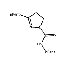 CCCCCNC(=S)N1CCC(CCCCC)=N1